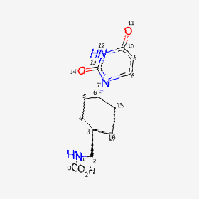 O=C(O)NC[C@H]1CC[C@H](n2ccc(=O)[nH]c2=O)CC1